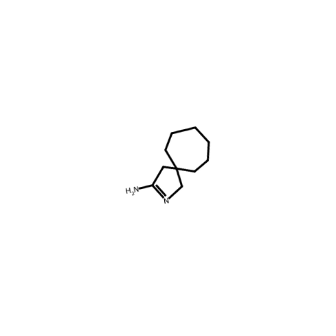 NC1=NCC2(CCCCCC2)C1